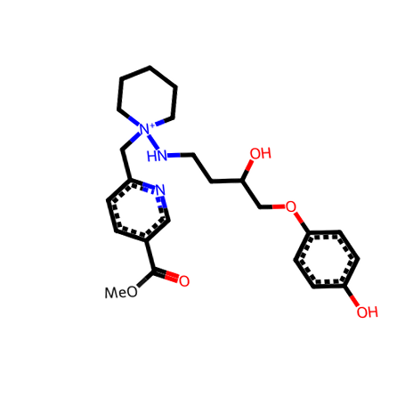 COC(=O)c1ccc(C[N+]2(NCCC(O)COc3ccc(O)cc3)CCCCC2)nc1